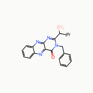 BC(c1nc2nc3ccccc3nc2c(=O)n1Cc1ccccc1)C(C)C